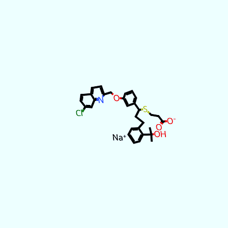 CC(C)(O)c1ccccc1CCC(SCCC(=O)[O-])c1cccc(OCc2ccc3ccc(Cl)cc3n2)c1.[Na+]